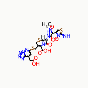 CON=C(C(=O)N[C@@H]1C(=O)N2C(C(=O)O)=C(CSc3cc(CC(=O)O)c4nnnn4n3)CS[C@@H]12)c1csc(=N)n1O